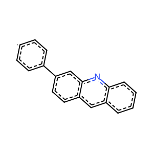 [c]1ccc(-c2ccc3cc4ccccc4nc3c2)cc1